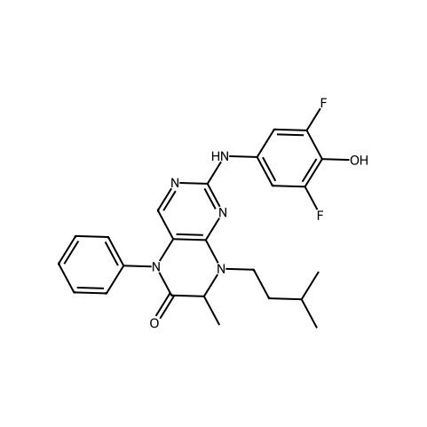 CC(C)CCN1c2nc(Nc3cc(F)c(O)c(F)c3)ncc2N(c2ccccc2)C(=O)C1C